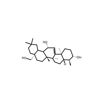 C[C@@H]1[C@@H](O)CC[C@]2(C)C3=C[C@@H](O)C4C5CC(C)(C)CC[C@]5(CO)CC[C@@]4(C)[C@]3(C)CC[C@@H]12